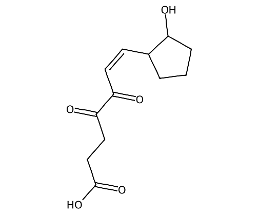 O=C(O)CCC(=O)C(=O)/C=C\C1CCCC1O